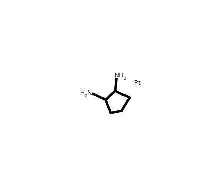 NC1CCCC1N.[Pt]